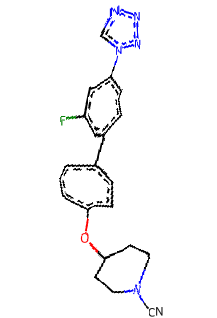 N#CN1CCC(Oc2ccc(-c3ccc(-n4cnnn4)cc3F)cc2)CC1